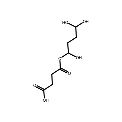 O=C(O)CCC(=O)OC(O)CCC(O)O